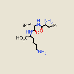 CC(C)C[C@@H](N)C(=O)N[C@@H](CC(C)C)C(=O)N[C@@H](CCCCN)C(=O)O